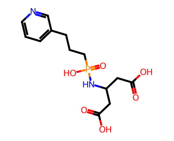 O=C(O)CC(CC(=O)O)NP(=O)(O)CCCc1cccnc1